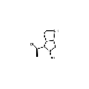 CCC(=O)C1C2CCNC2CN1C(C)(C)C